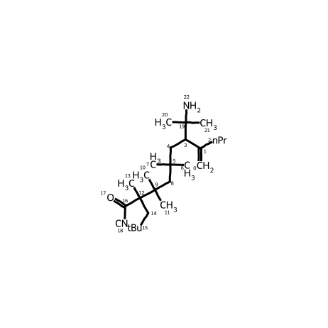 C=C(CCC)C(CC(C)(C)CC(C)(C)C(C)(CC(C)(C)C)C(=O)C#N)C(C)(C)N